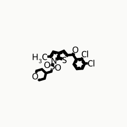 Cc1cc2cc(C(=O)c3cccc(Cl)c3Cl)sc2n1S(=O)(=O)CC1CCOCC1